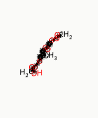 C=CC(=O)OCCOc1ccc(C(=O)Oc2ccc3c(c2)C(C)c2cc(OCCCOC(=O)C(=C)CO)ccc2-3)cc1